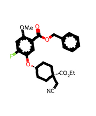 CCOC(=O)[C@]1(CC#N)CC[C@H](Oc2cc(C(=O)OCc3ccccc3)c(OC)cc2F)CC1